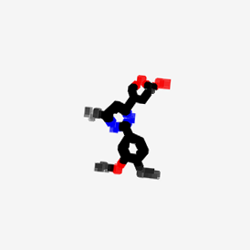 CCCOc1cc(-c2nc(C3COB(O)C3)cc(C(F)(F)F)n2)ccc1OC